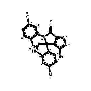 CC(C)c1[nH]nc2c1C1(CNc3cc(Cl)ccc31)N(c1cc(Cl)ccc1O)C2=O